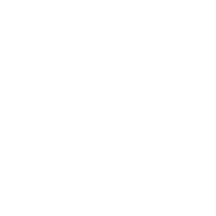 [C]#CC(C)C#C